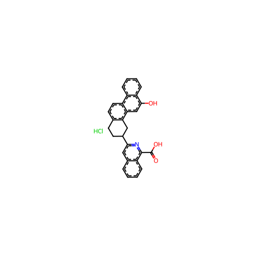 Cl.O=C(O)c1nc(C2CCc3ccc4c(cc(O)c5ccccc54)c3C2)cc2ccccc12